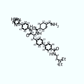 CCN(CC)CCNC(=O)c1ccc(-c2ccc(C[C@H](NC(=O)C3CCC(CN)CC3)C(=O)Nc3ccc(-c4nn[nH]n4)cc3)cc2)cc1